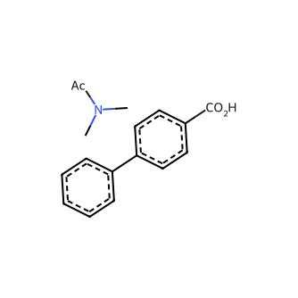 CC(=O)N(C)C.O=C(O)c1ccc(-c2ccccc2)cc1